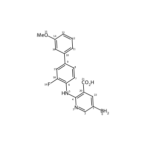 Bc1cnc(Nc2ccc(-c3cccc(OC)c3)cc2F)c(C(=O)O)c1